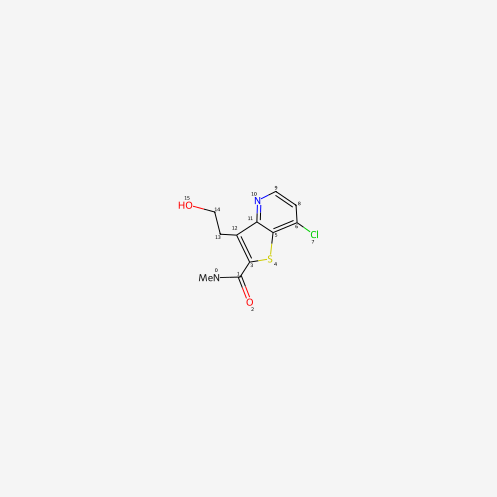 CNC(=O)c1sc2c(Cl)ccnc2c1CCO